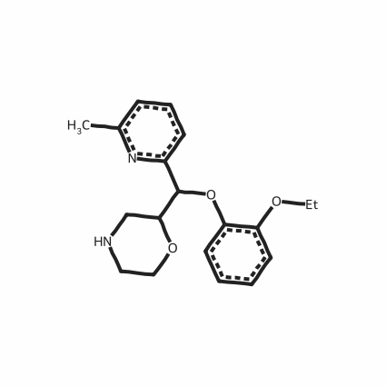 CCOc1ccccc1OC(c1cccc(C)n1)C1CNCCO1